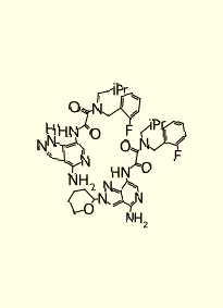 CC(C)CN(Cc1ccccc1F)C(=O)C(=O)Nc1cnc(N)c2cn(C3CCCCO3)nc12.CC(C)CN(Cc1ccccc1F)C(=O)C(=O)Nc1cnc(N)c2cn[nH]c12